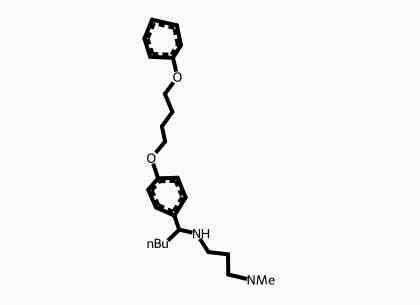 CCCCC(NCCCNC)c1ccc(OCCCCOc2ccccc2)cc1